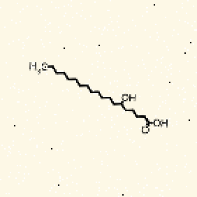 CCCCCCCCCCCCCC(O)CCCCC(=O)O